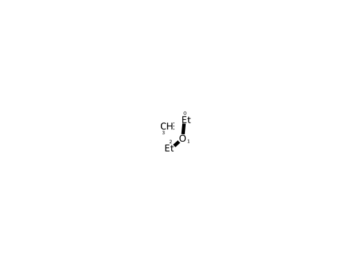 CCOCC.[CH]